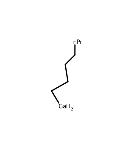 CCCCCC[CH2][GaH2]